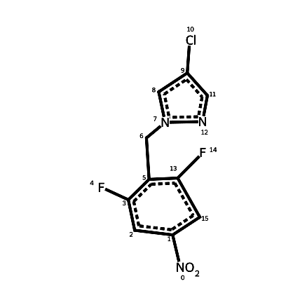 O=[N+]([O-])c1cc(F)c(Cn2cc(Cl)cn2)c(F)c1